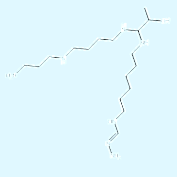 CC(O)C(NCCCCCCNC=NN)NCCCCNCCCN